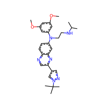 COc1cc(OC)cc(N(CCNC(C)C)c2ccc3ncc(-c4cnn(C(C)(C)C)c4)nc3c2)c1